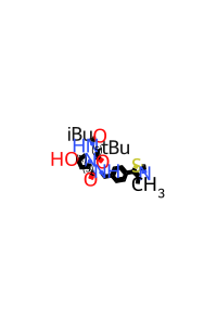 CCC(C)C(=O)N[C@H](C(=O)N1C[C@H](O)C[C@H]1C(=O)NCc1ccc(-c2scnc2C)cc1)C(C)(C)C